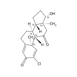 C[C@]12CC(=O)[C@H]3[C@@H](CCC4=CC(=O)C(Cl)=C[C@@]43C)[C@@H]1CC[C@@H]2O